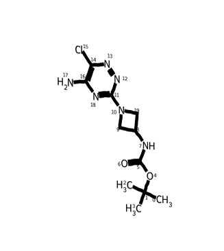 CC(C)(C)OC(=O)NC1CN(c2nnc(Cl)c(N)n2)C1